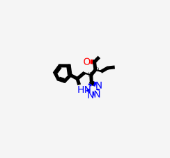 CCC[C@H](C(C)=O)[C@H](CC(C)c1ccccc1)c1nnn[nH]1